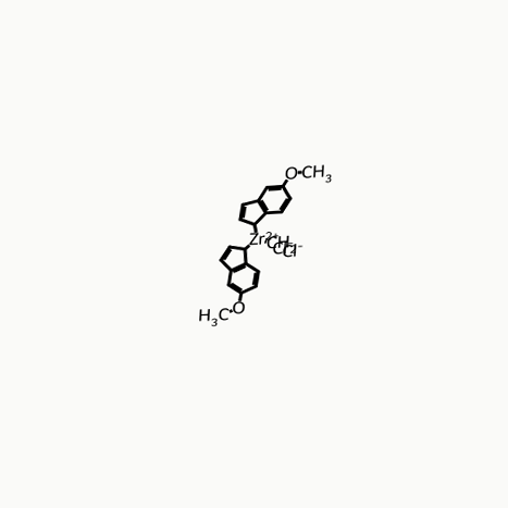 [CH2]=[Zr+2]([CH]1C=Cc2cc(OC)ccc21)[CH]1C=Cc2cc(OC)ccc21.[Cl-].[Cl-]